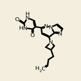 C=CCCC1CN(c2cc(-c3c[nH]c(=O)[nH]c3=O)nn3ccnc23)C1